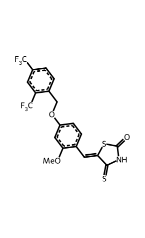 COc1cc(OCc2ccc(C(F)(F)F)cc2C(F)(F)F)ccc1C=C1SC(=O)NC1=S